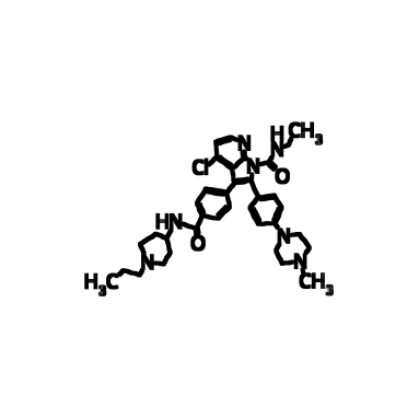 CCCN1CCC(NC(=O)c2ccc(-c3c(-c4ccc(N5CCN(C)CC5)cc4)n(C(=O)NCC)c4nccc(Cl)c34)cc2)CC1